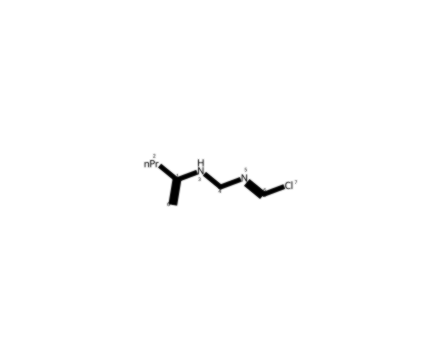 C=C(CCC)NC/N=C/Cl